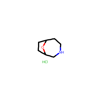 C1CC2CCC(CN1)O2.Cl